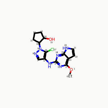 CCOc1nc(Nc2cnn(C3CCCC3O)c2Cl)nc2[nH]ccc12